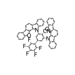 N#Cc1c(-n2c3ccccc3c3ccc4c5ccccc5oc4c32)cc(-c2c(F)c(F)c(F)c(F)c2F)cc1-n1c2ccccc2c2ccc3c4ccccc4oc3c21